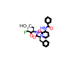 O=C(O)C[C@@H](NC(=O)[C@H](Cc1ccccc1)n1cccc(NC(=O)c2ccccc2)c1=O)C(=O)CF